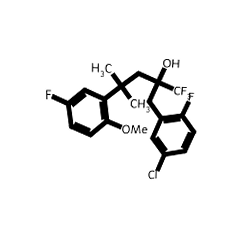 COc1ccc(F)cc1C(C)(C)CC(O)(Cc1cc(Cl)ccc1F)C(F)(F)F